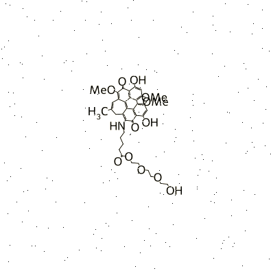 COc1c2c3c4c(c(NCCCCC(=O)OCCOCCOCCO)c(=O)c5c(O)cc(OC)c(c6c(OC)cc(O)c(c1=O)c63)c54)CC(C)=C2